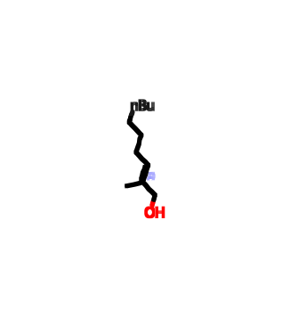 CCCCCCC/C=C(\C)CO